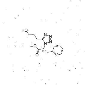 COC(=O)[C@@H](Cc1ccccc1)n1nnnc1CCCO